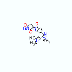 Cn1cc(-c2c(-c3ccc4c(c3)CN([C@H]3CCC(=O)NC3=O)C4=O)ncn2C)cc1C#N